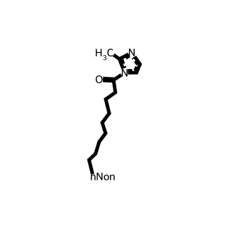 CCCCCCCCCCCCCCCCCC(=O)n1ccnc1C